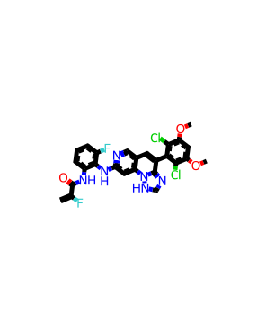 C=C(F)C(=O)Nc1cccc(F)c1Nc1cc2c(cn1)C=C(c1c(Cl)c(OC)cc(OC)c1Cl)C1=NCNN12